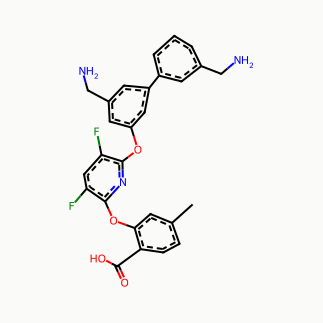 Cc1ccc(C(=O)O)c(Oc2nc(Oc3cc(CN)cc(-c4cccc(CN)c4)c3)c(F)cc2F)c1